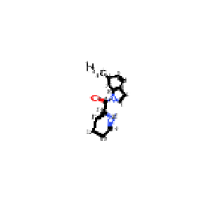 Cc1ccc2ccn(C(=O)c3ccccn3)c2c1